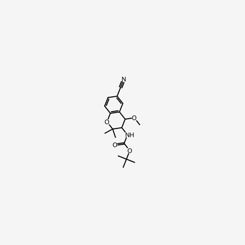 COC1c2cc(C#N)ccc2OC(C)(C)C1NC(=O)OC(C)(C)C